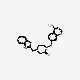 Nc1ncnc2cc(CN3CCN(Cc4cc5ccncc5[nH]4)CC3=O)ccc12